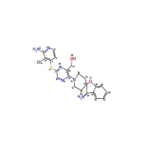 Nc1nccc(Sc2cnc(N3CCC4(CC3)Oc3ccccc3[C@H]4N)c(CO)n2)c1Cl